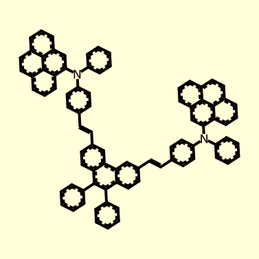 C(=C\c1ccc2c(-c3ccccc3)c(-c3ccccc3)c3ccc(/C=C/c4ccc(N(c5ccccc5)c5cc6cccc7ccc8cccc5c8c76)cc4)cc3c2c1)/c1ccc(N(c2ccccc2)c2cc3cccc4ccc5cccc2c5c43)cc1